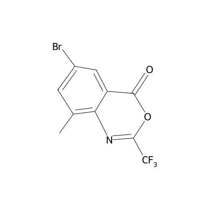 Cc1cc(Br)cc2c(=O)oc(C(F)(F)F)nc12